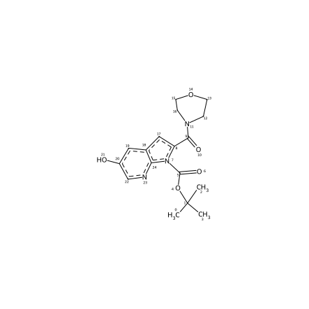 CC(C)(C)OC(=O)n1c(C(=O)N2CCOCC2)cc2cc(O)cnc21